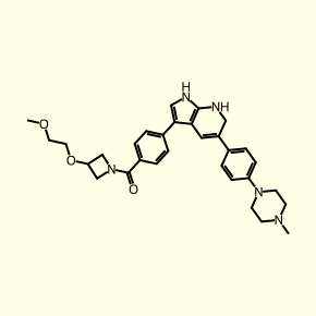 COCCOC1CN(C(=O)c2ccc(-c3c[nH]c4c3C=C(c3ccc(N5CCN(C)CC5)cc3)CN4)cc2)C1